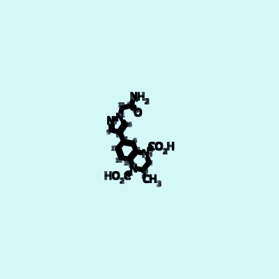 C[C@H]1CN(C(=O)O)c2cc(-c3cnn(CC(N)=O)c3)ccc2N1C(=O)O